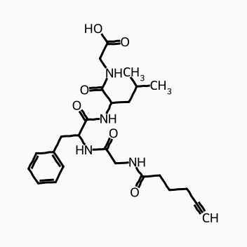 C#CCCCC(=O)NCC(=O)NC(Cc1ccccc1)C(=O)NC(CC(C)C)C(=O)NCC(=O)O